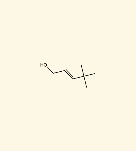 CC(C)(C)/C=C/CO